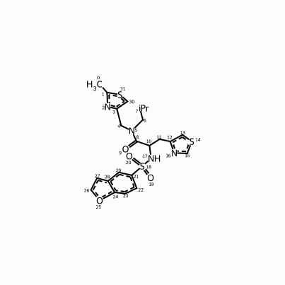 Cc1nc(CN(CC(C)C)C(=O)C(Cc2cscn2)NS(=O)(=O)c2ccc3occc3c2)cs1